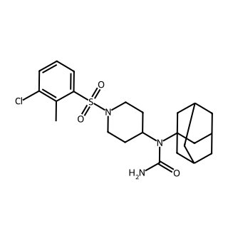 Cc1c(Cl)cccc1S(=O)(=O)N1CCC(N(C(N)=O)C23CC4CC(CC(C4)C2)C3)CC1